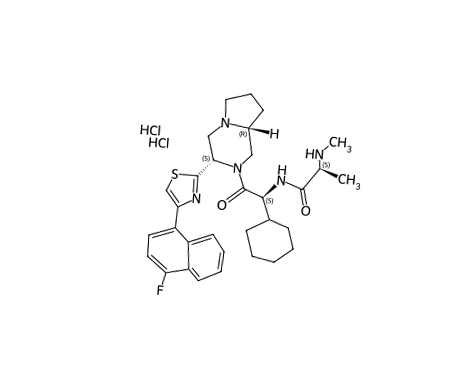 CN[C@@H](C)C(=O)N[C@H](C(=O)N1C[C@H]2CCCN2C[C@H]1c1nc(-c2ccc(F)c3ccccc23)cs1)C1CCCCC1.Cl.Cl